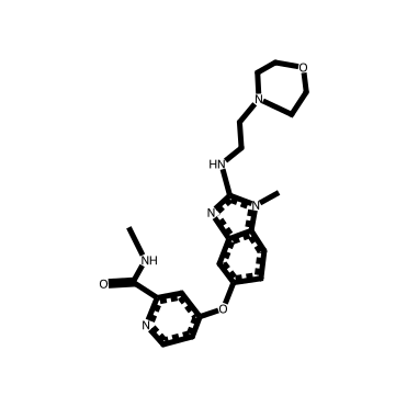 CNC(=O)c1cc(Oc2ccc3c(c2)nc(NCCN2CCOCC2)n3C)ccn1